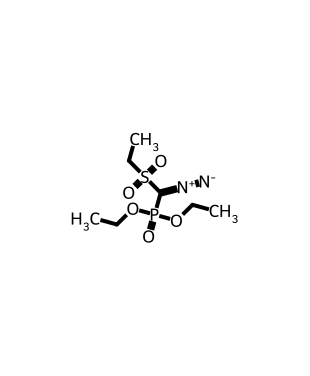 CCOP(=O)(OCC)C(=[N+]=[N-])S(=O)(=O)CC